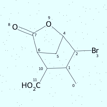 CC1C(Br)C2CC(C(=O)O2)C1C(=O)O